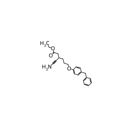 CCOC(=O)CC(C#CN)CCCOc1ccc(Cc2ccccc2)cc1